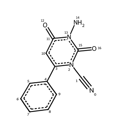 N#Cn1c(-c2ccccc2)cc(=O)n(N)c1=O